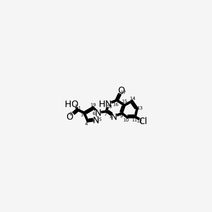 O=C(O)c1cnn(-c2nc3cc(Cl)ccc3c(=O)[nH]2)c1